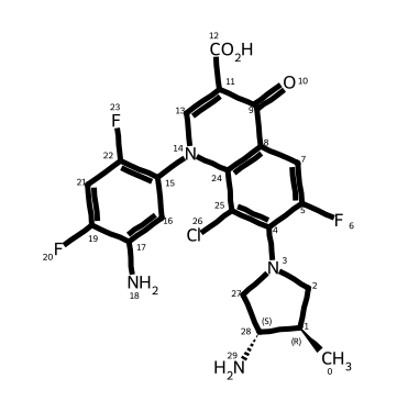 C[C@@H]1CN(c2c(F)cc3c(=O)c(C(=O)O)cn(-c4cc(N)c(F)cc4F)c3c2Cl)C[C@H]1N